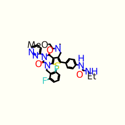 CCNC(=O)Nc1ccc(-c2sc3c(c2CN(C)CCOC)c(=O)n(-c2cccnn2)c(=O)n3Cc2c(F)cccc2F)cc1